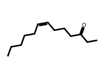 CCCCC/C=C\CCCC(=O)CC